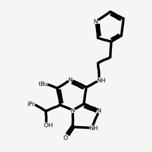 CC(C)C(O)c1c(C(C)(C)C)nc(NCCc2cccnc2)c2n[nH]c(=O)n12